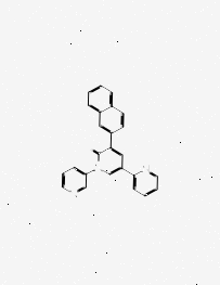 O=c1c(-c2ccc3ccccc3c2)cc(-c2ccccn2)cn1-c1cccnc1